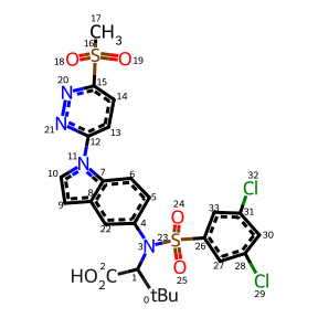 CC(C)(C)C(C(=O)O)N(c1ccc2c(ccn2-c2ccc(S(C)(=O)=O)nn2)c1)S(=O)(=O)c1cc(Cl)cc(Cl)c1